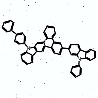 c1ccc(-c2ccc(-n3c4ccccc4c4cc5c6ccc(-c7ccc8c9ccccc9n(-c9ccccc9)c8c7)cc6c6ccccc6c5cc43)cc2)cc1